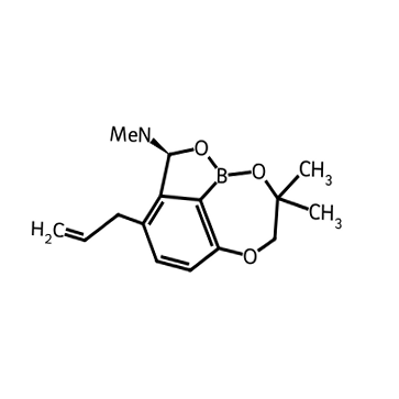 C=CCc1ccc2c3c1[C@@H](NC)OB3OC(C)(C)CO2